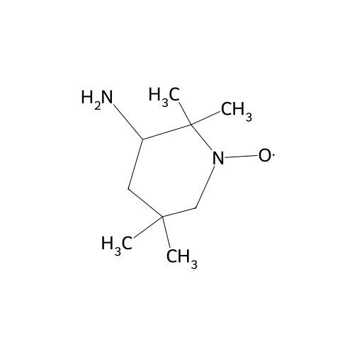 CC1(C)CC(N)C(C)(C)N([O])C1